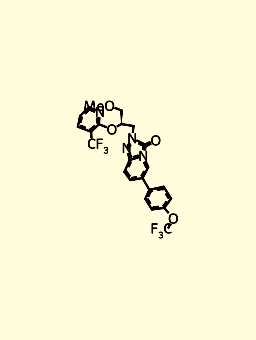 COC[C@@H](Cn1nc2ccc(-c3ccc(OC(F)(F)F)cc3)cn2c1=O)Oc1ncccc1C(F)(F)F